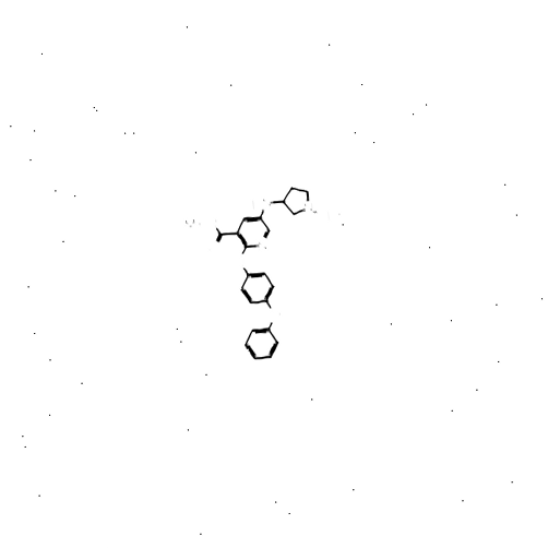 COC(=O)c1cc(NC2CCN(C=O)C2)cnc1Oc1ccc(Oc2ccccc2)cc1